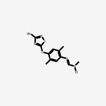 CCN(C)/C=N/c1cc(C)c(Oc2nc(C(C)(C)C)ns2)cc1C